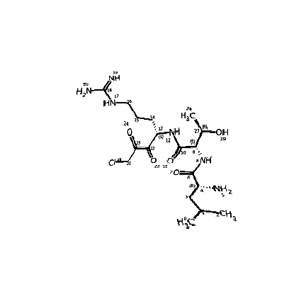 CC(C)C[C@@H](N)C(=O)N[C@H](C(=O)N[C@@H](CCCNC(=N)N)C(=O)C(=O)CCl)[C@@H](C)O